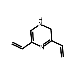 C=CC1=CNCC(C=C)=N1